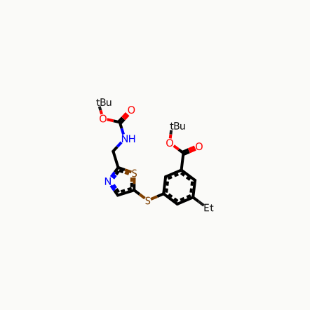 CCc1cc(Sc2cnc(CNC(=O)OC(C)(C)C)s2)cc(C(=O)OC(C)(C)C)c1